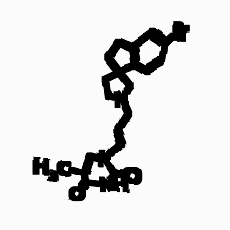 Cc1cn(CCCN2CCC3(CCc4cc(Br)ccc43)C2)c(=O)[nH]c1=O